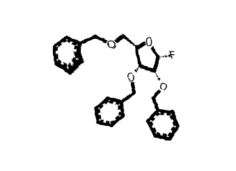 F[C@H]1O[C@H](COCc2ccccc2)[C@@H](OCc2ccccc2)[C@H]1OCc1ccccc1